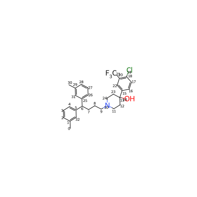 Cc1cccc(C(CCCN2CCC(O)(c3ccc(Cl)c(C(F)(F)F)c3)CC2)c2cccc(C)c2)c1